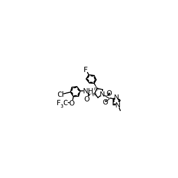 Cn1cnc(S(=O)(=O)N2C[C@H](C(=O)Nc3ccc(Cl)c(OC(F)(F)F)c3)[C@@H](c3ccc(F)cc3)C2)c1